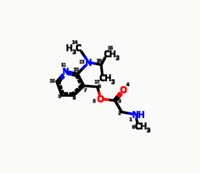 CNCC(=O)OCc1cccnc1N(C)C(C)C